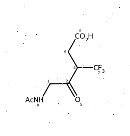 CC(=O)NCC(=O)C(CC(=O)O)C(F)(F)F